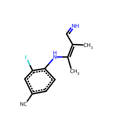 C/C(C=N)=C(\C)Nc1ccc(C#N)cc1F